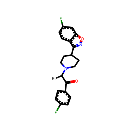 CCC(C(=O)c1ccc(F)cc1)N1CCC(c2noc3cc(F)ccc23)CC1